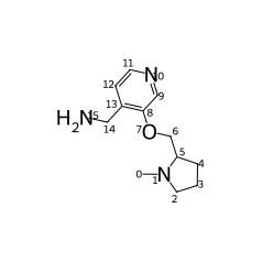 CN1CCCC1COc1cnccc1CN